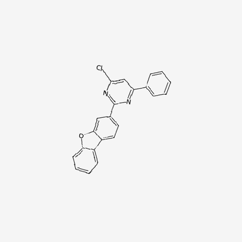 Clc1cc(-c2ccccc2)nc(-c2ccc3c(c2)oc2ccccc23)n1